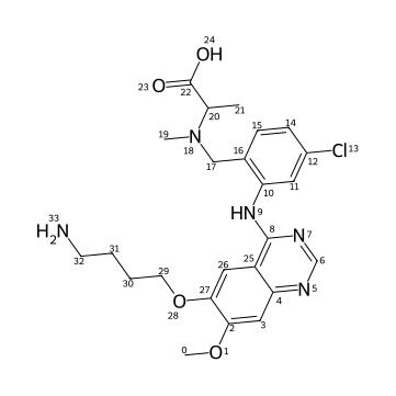 COc1cc2ncnc(Nc3cc(Cl)ccc3CN(C)C(C)C(=O)O)c2cc1OCCCCN